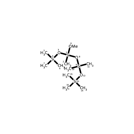 CO[Si](C)(O[Si](C)(C)C)O[Si](C)(C)O[Si](C)(C)C